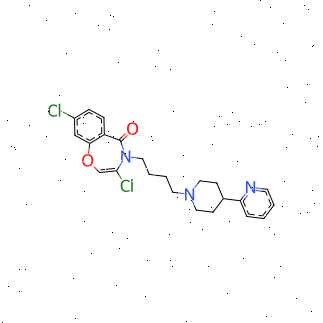 O=C1c2ccc(Cl)cc2OC=C(Cl)N1CCCCN1CCC(c2ccccn2)CC1